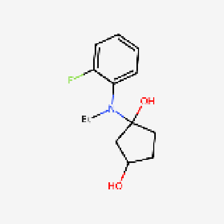 CCN(c1ccccc1F)C1(O)CCC(O)C1